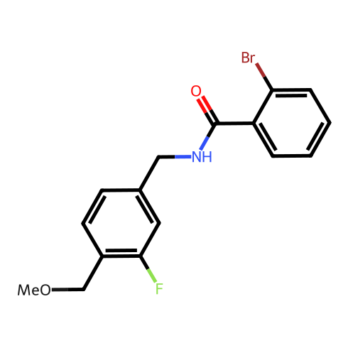 COCc1ccc(CNC(=O)c2ccccc2Br)cc1F